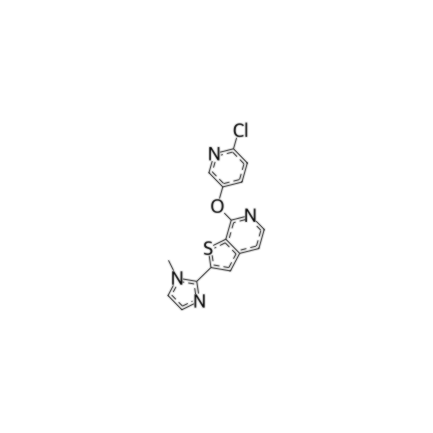 Cn1ccnc1-c1cc2ccnc(Oc3ccc(Cl)nc3)c2s1